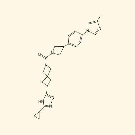 Cc1cn(-c2ccc(C3CN(C(=O)N4CC5(CC(c6nnc(C7CC7)[nH]6)C5)C4)C3)cc2)cn1